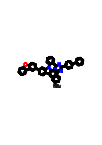 CCCCc1ccc(-c2nc(-c3ccc(-c4ccccc4)cc3)nc(-c3ccccc3-n3c4ccccc4c4ccc(-c5ccc6oc7ccccc7c6c5)cc43)n2)cc1